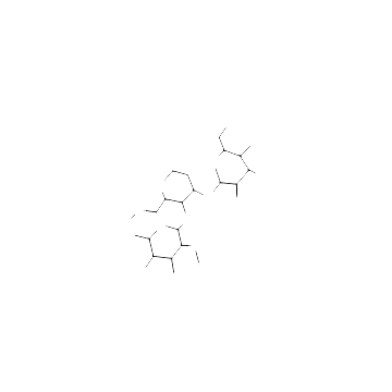 CCCCOCC1OCCC(OC2OC(COC(C)=O)C(C)C(OC(C)=O)C2OC(C)=O)C1OC1OC(C)C(C)C(C)C1OCCCC